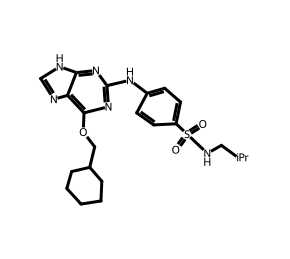 CC(C)CNS(=O)(=O)c1ccc(Nc2nc(OCC3CCCCC3)c3nc[nH]c3n2)cc1